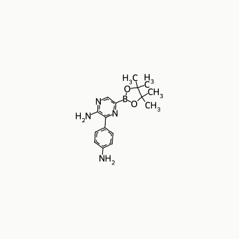 CC1(C)OB(c2cnc(N)c(-c3ccc(N)cc3)n2)OC1(C)C